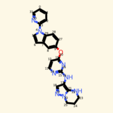 c1ccc(-n2ccc3cc(Oc4ccnc(Nc5cnn6c5NCCC6)n4)ccc32)nc1